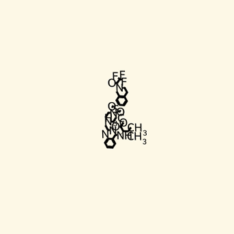 COC(=O)[C@@H](Nc1nc(CN2CCN(S(=O)(=O)c3ccc4c(c3)CN(C(=O)C(F)(F)F)CC4)CC2)nc2ccccc12)C(C)C